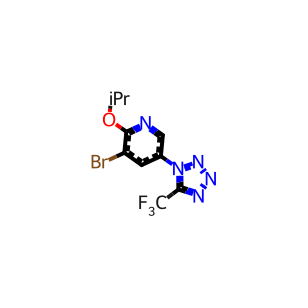 CC(C)Oc1ncc(-n2nnnc2C(F)(F)F)cc1Br